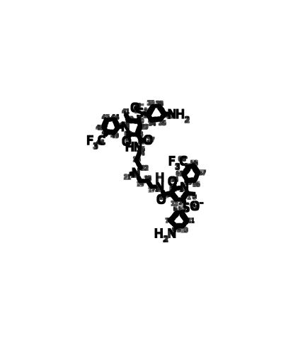 Cc1c([S+]([O-])c2ccc(N)cc2)cc(C(=O)NCCCN(C)CCCNC(=O)c2cc([S+]([O-])c3ccc(N)cc3)c(C)n(-c3cccc(C(F)(F)F)c3)c2=O)c(=O)n1-c1cccc(C(F)(F)F)c1